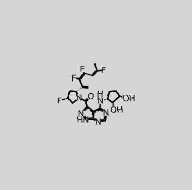 C=C(/C(F)=C(F)\C=C(/C)F)[C@H]1C[C@H](F)CN1C(=O)c1n[nH]c2ncnc(N[C@@H]3CC[C@@H](O)[C@H]3O)c12